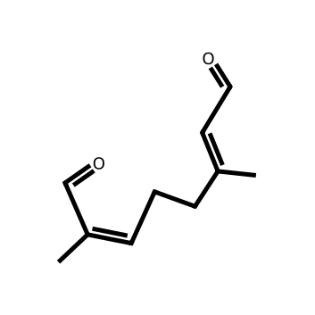 CC(C=O)=CCCC(C)=CC=O